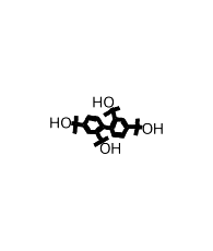 CC(C)(O)c1ccc(-c2ccc(C(C)(C)O)cc2C(C)(C)O)c(C(C)(C)O)c1